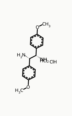 COc1ccc([C@H](N)[C@@H](N)c2ccc(OC)cc2)cc1.Cl.Cl